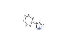 C1=CC(C2CCCCCC2)=C[N]1